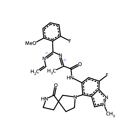 C=C/N=C(\N=C(/C)C(=O)Nc1cc(F)c2nn(C)cc2c1N1CCC2(CCNC2=O)C1)c1c(F)cccc1OC